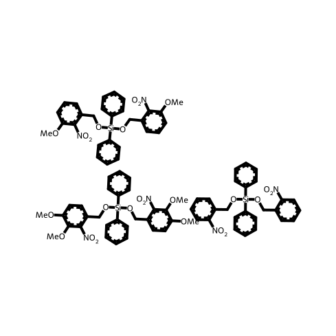 COc1ccc(CO[Si](OCc2ccc(OC)c(OC)c2[N+](=O)[O-])(c2ccccc2)c2ccccc2)c([N+](=O)[O-])c1OC.COc1cccc(CO[Si](OCc2cccc(OC)c2[N+](=O)[O-])(c2ccccc2)c2ccccc2)c1[N+](=O)[O-].O=[N+]([O-])c1ccccc1CO[Si](OCc1ccccc1[N+](=O)[O-])(c1ccccc1)c1ccccc1